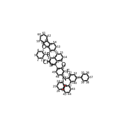 Cc1ccccc1B(c1ccc2c3c(cccc13)Oc1cc(N(c3ccccc3)c3c(F)cc(-c4ccccc4)cc3-c3ccccc3)ccc1-2)c1cccc2c1oc1ccccc12